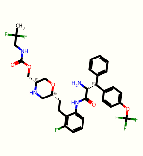 CC(F)(F)CNC(=O)OC[C@@H]1CO[C@H](CCc2c(F)cccc2NC(=O)C(N)[C@H](c2ccccc2)c2ccc(OC(F)(F)F)cc2)CN1